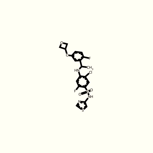 CC(Nc1cc(F)c(S(=O)(=O)Nc2cscn2)cc1Cl)c1cc(OC2COC2)ccc1F